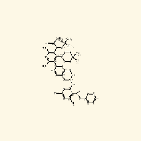 Cc1nc(C)c(C(OC(C)(C)C)C(=O)O)c(N2CCC(C)(C)CC2)c1-c1ccc2c(c1)CCN(Cc1cc(Cl)cc(Cl)c1OCc1ccccc1)C2